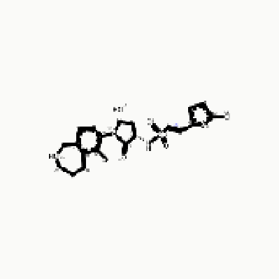 Cl.O=C1[C@@H](NS(=O)(=O)/C=C/c2ccc(Cl)s2)CCN1c1ccc2c(c1F)CCCNC2